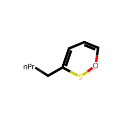 CCCCC1=CC=COS1